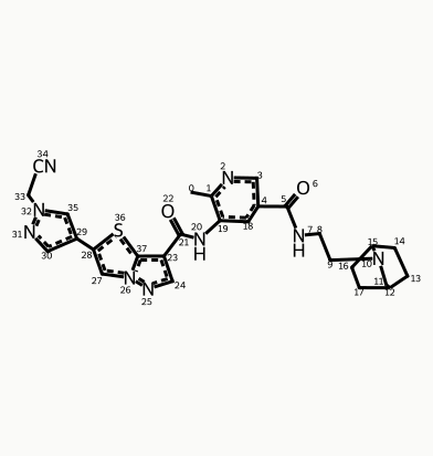 Cc1ncc(C(=O)NCCN2CC3CCC2CC3)cc1NC(=O)c1cnn2cc(-c3cnn(CC#N)c3)sc12